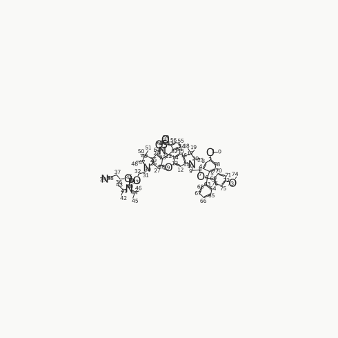 COc1ccc(C(OCCN2c3cc4c(cc3C(C)(C)C2C)C2(c3cc5c(cc3O4)N(CCOP(OCCC#N)N(C(C)C)C(C)C)C(C)C5(C)C)c3ccccc3S(=O)(=O)N2C)(c2ccccc2)c2ccc(OC)cc2)cc1